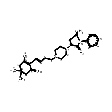 C=C1C[C@H](N2CCN(CC/C=C/C3=C(O)CC(C)(C)CC3=O)CC2)C(=O)N1c1ccccc1